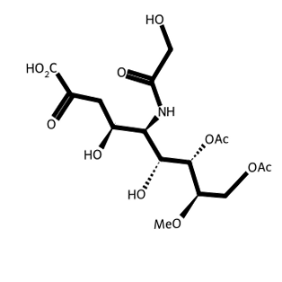 CO[C@H](COC(C)=O)[C@@H](OC(C)=O)[C@H](O)[C@H](NC(=O)CO)[C@@H](O)CC(=O)C(=O)O